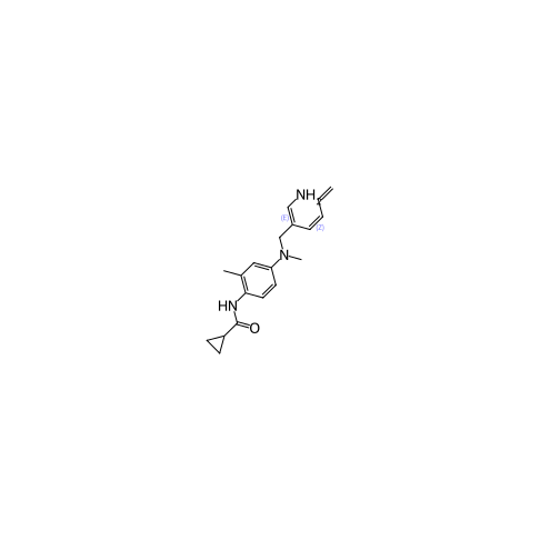 C=C/C=C\C(=C/N)CN(C)c1ccc(NC(=O)C2CC2)c(C)c1